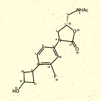 CC(=O)NC[C@H]1CN(c2ccc(C3CC(O)C3)c(F)c2)C(=O)O1